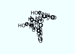 Cc1cc(-c2nc(C(=O)Nc3cc4sc(N5CCOCC5)nc4nc3N3CC[C@H](O)C3)c(C3CCCN(c4nc5nc(N6CCOCC6)sc5cc4NC(=O)c4coc(N5CC[C@H](O)C5)n4)C3)o2)ccn1